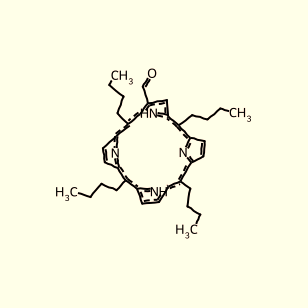 CCCCc1c2nc(c(CCCC)c3cc(C=O)c([nH]3)c(CCCC)c3nc(c(CCCC)c4ccc1[nH]4)C=C3)C=C2